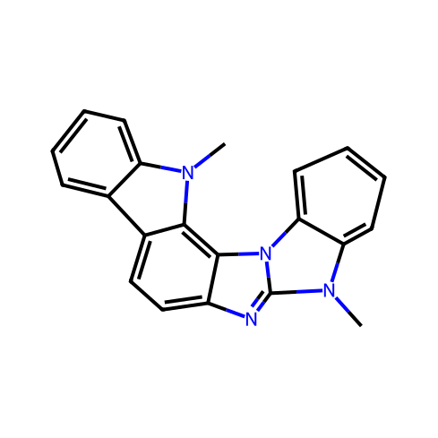 Cn1c2ccccc2c2ccc3nc4n(C)c5ccccc5n4c3c21